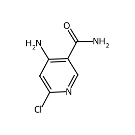 NC(=O)c1cnc(Cl)cc1N